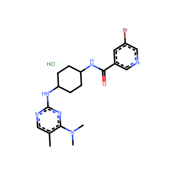 Cc1cnc(NC2CCC(NC(=O)c3cncc(Br)c3)CC2)nc1N(C)C.Cl